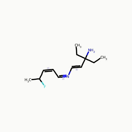 CCC(N)(/C=C/N=C\C=C/C(C)F)CC